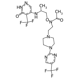 CC(=O)N(CCN1CCN(c2ncc(C(F)(F)F)cn2)CC1)OCC(C)Nc1cn[nH]c(=O)c1C(F)(F)F